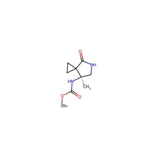 CC(C)(C)OC(=O)N[C@]1(C)CNC(=O)C12CC2